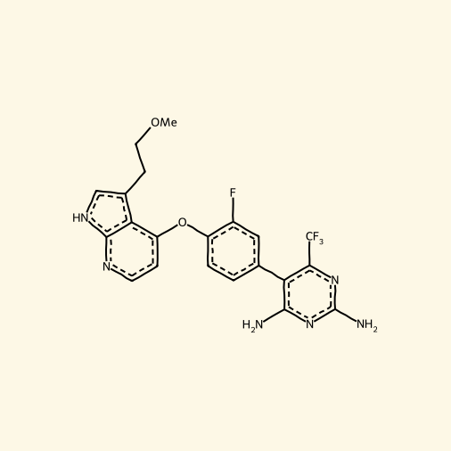 COCCc1c[nH]c2nccc(Oc3ccc(-c4c(N)nc(N)nc4C(F)(F)F)cc3F)c12